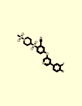 CS(=O)(=O)N1CCC(S(=O)(=O)c2ccc(Oc3cncc(-c4ccc(F)c(F)c4)c3)cc2C#N)CC1